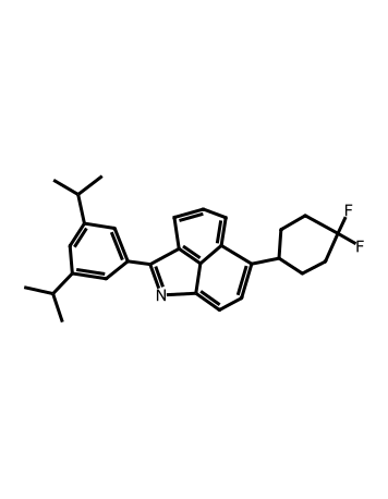 CC(C)c1cc(C2=Nc3ccc(C4CCC(F)(F)CC4)c4cccc2c34)cc(C(C)C)c1